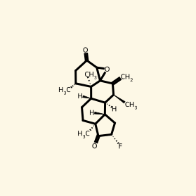 C=C1[C@@H](C)[C@@H]2[C@H](CC[C@]3(C)C(=O)[C@@H](F)C[C@@H]23)[C@@]2(C)[C@H](C)CC(=O)C3OC132